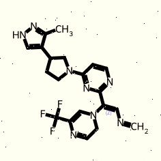 C=N/C=C(/c1nccc(N2CCC(c3c[nH]nc3C)C2)n1)N1C=C(C(F)(F)F)N=CC1